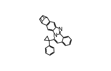 c1ccc(C2(c3cc4ccccc4c4nc5cc6c(cc5n34)C3CCC6O3)CC2)cc1